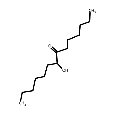 CCCCCCC(=O)C(O)CCCCCC